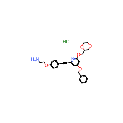 Cl.NCCOc1ccc(C#Cc2cc(OCc3ccccc3)cc(OCC3COCCO3)n2)cc1